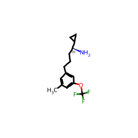 Cc1cc(CCC[C@H](N)C2CC2)cc(OC(F)(F)F)c1